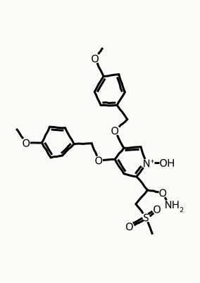 COc1ccc(COc2cc(C(CS(C)(=O)=O)ON)[n+](O)cc2OCc2ccc(OC)cc2)cc1